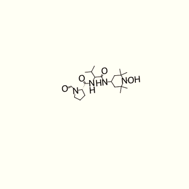 CC(C)C(NC(=O)[C@@H]1CCCN1C=O)C(=O)NC1CC(C)(C)N(O)C(C)(C)C1